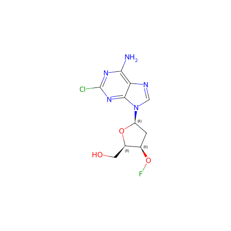 Nc1nc(Cl)nc2c1ncn2[C@H]1C[C@@H](OF)[C@@H](CO)O1